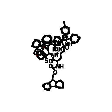 Cc1ccc(C(NCCCCC(NC(=O)OCC2c3ccccc3-c3ccccc32)C(=O)NC(CC(c2ccccc2)(c2ccccc2)c2ccccc2)C(=S)N2CCC[C@H]2C(=O)OCC(=O)NC(C(N)=O)C(C)C)(c2ccccc2)c2ccccc2)cc1